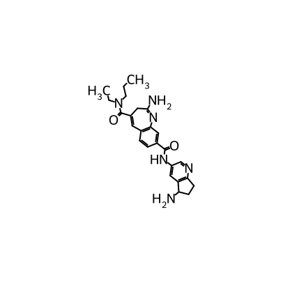 CCCN(CC)C(=O)C1=Cc2ccc(C(=O)Nc3cnc4c(c3)C(N)CC4)cc2N=C(N)C1